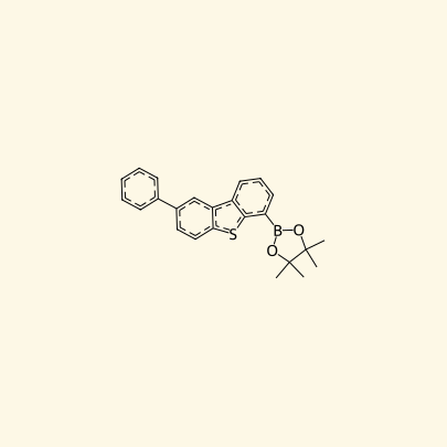 CC1(C)OB(c2cccc3c2sc2ccc(-c4ccccc4)cc23)OC1(C)C